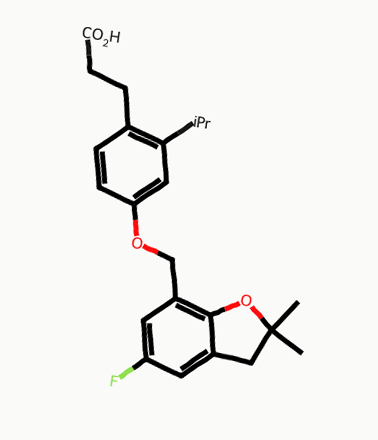 CC(C)c1cc(OCc2cc(F)cc3c2OC(C)(C)C3)ccc1CCC(=O)O